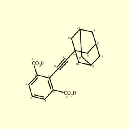 O=C(O)c1cccc(C(=O)O)c1C#CC12CC3CC(CC(C3)C1)C2